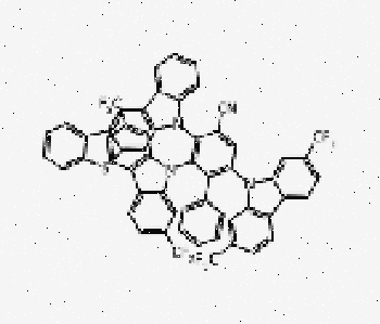 N#Cc1cc(-n2c3cc(C(F)(F)F)ccc3c3ccc(C(F)(F)F)cc32)c(-c2ccccc2)c(-n2c3cc(C(F)(F)F)ccc3c3ccc(C(F)(F)F)cc32)c1-n1c2ccccc2c2cc3c(cc21)sc1ccccc13